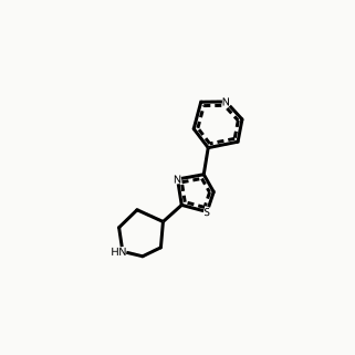 c1cc(-c2csc(C3CCNCC3)n2)ccn1